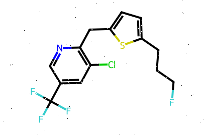 FCCCc1ccc(Cc2ncc(C(F)(F)F)cc2Cl)s1